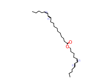 CCCC/C=C\C=C\CCCCCCCCCC(=O)OCCCC/C=C\C=C\CCCC